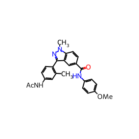 COc1ccc(NC(=O)c2ccc3c(c2)c(-c2ccc(NC(C)=O)cc2C)nn3C)cc1